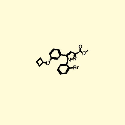 COC(=O)c1cc(-c2cccc(OC3CCC3)c2)n(-c2ccccc2Br)n1